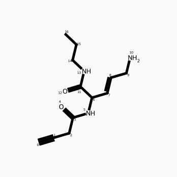 C#CCC(=O)NC(C=CCN)C(=O)NCCC